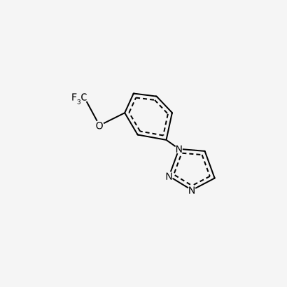 FC(F)(F)Oc1cccc(-n2ccnn2)c1